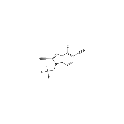 N#Cc1ccc2c(cc(C#N)n2CC(F)(F)F)c1Cl